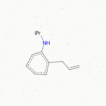 C=CCc1ccccc1NC(C)C